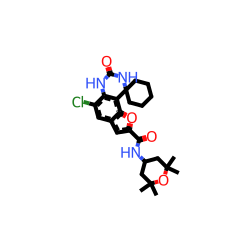 CC1(C)CC(NC(=O)c2cc3cc(Cl)c4c(c3o2)C2(CCCCC2)NC(=O)N4)CC(C)(C)O1